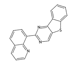 c1cnc2c(-c3ncc4sc5ccccc5c4n3)cccc2c1